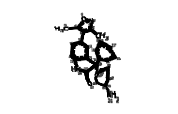 Cc1noc(C)c1-c1ccc2c(c1)C(c1ccccc1)(N1CC[C@@H](N)C1)C(=O)N2